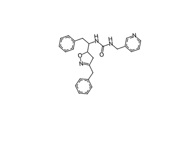 O=C(NCc1cccnc1)NC(Cc1ccccc1)C1CC(Cc2ccccc2)=NO1